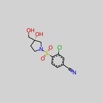 N#Cc1ccc(S(=O)(=O)N2CC[C@@](O)(CO)C2)c(Cl)c1